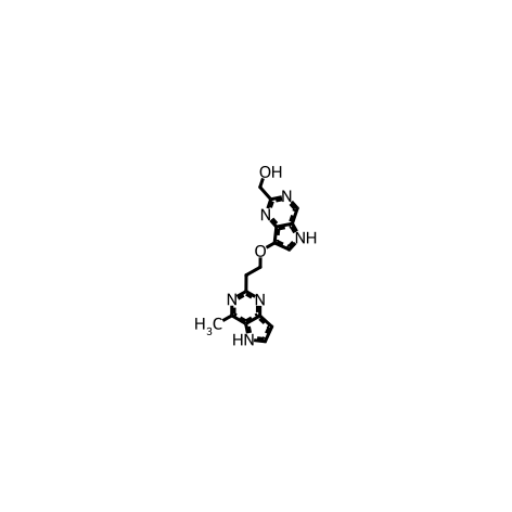 Cc1nc(CCOc2c[nH]c3cnc(CO)nc23)nc2cc[nH]c12